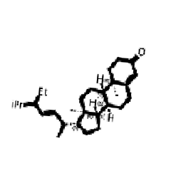 CCC(C=CC(C)[C@H]1CC[C@H]2[C@@H]3CCC4=CC(=O)CC[C@]4(C)[C@H]3CC[C@]12C)C(C)C